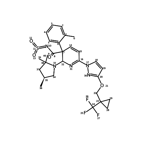 Cc1ccccc1C1(C(=O)N=S(=O)=O)C=CC(n2ccc(OCC3(C(F)(F)F)CC3)n2)=NC1N1C[C@@H](C)CC1(C)C